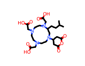 CC(C)CCC1CN(C2CC(=O)OC(=O)C2)CCN(CC(=O)O)CCN(CC(=O)O)CCN1CC(=O)O